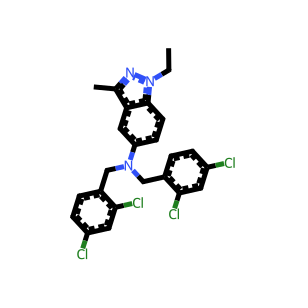 CCn1nc(C)c2cc(N(Cc3ccc(Cl)cc3Cl)Cc3ccc(Cl)cc3Cl)ccc21